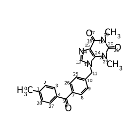 Cc1ccc(C(=O)c2ccc(Cn3cnc4c(=O)n(C)c(=O)n(C)c43)cc2)cc1